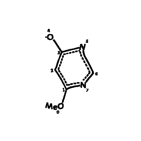 COc1cc([O])ncn1